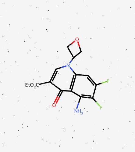 CCOC(=O)c1cn(C2COC2)c2cc(F)c(F)c(N)c2c1=O